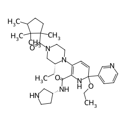 CCOC1(c2cccnc2)C=CC(N2CCN(C(=O)C3(C)CCC(C)C3(C)C)C[C@H]2CC)=C(C(=O)N[C@@H]2CCNC2)N1